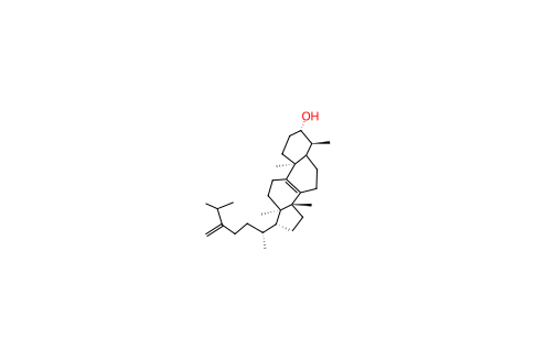 C=C(CC[C@@H](C)[C@H]1CC[C@@]2(C)C3=C(CC[C@]12C)[C@@]1(C)CC[C@H](O)[C@@H](C)C1CC3)C(C)C